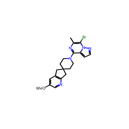 COc1cnc2c(c1)CC1(CCN(c3nc(C)c(Br)n4nccc34)CC1)C2